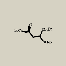 CCCCCCC(CC(=O)OCC(C)C)C(=O)OCC